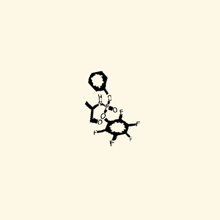 CC(C=O)N[P@](=O)(Oc1ccccc1)Oc1c(F)c(F)c(F)c(F)c1F